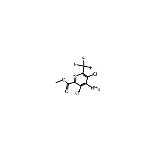 COC(=O)c1nc(C(F)(F)F)c(Cl)c(N)c1Cl